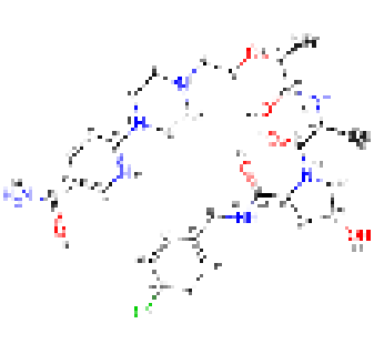 CC(C)[C@H](OCCN1CCN(c2ccc(C(N)=O)cn2)CC1)C(=O)N[C@H](C(=O)N1C[C@H](O)C[C@H]1C(=O)NCc1ccc(Cl)cc1)C(C)(C)C